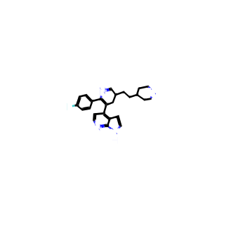 Fc1ccc(C2=C(c3ccnc4[nH]ccc34)CC(CCC3CCNCC3)C=N2)cc1